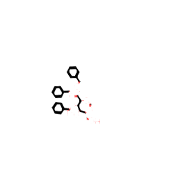 OC[C@H]1OCO[C@H]([C@@H](COCc2ccccc2)OCc2ccccc2)[C@@H](OCc2ccccc2)[C@@H]1O